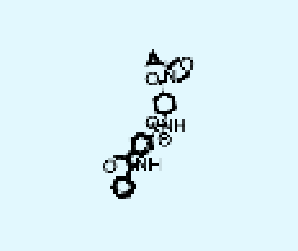 O=Cc1c(-c2ccccc2)[nH]c2cc(S(=O)(=O)N[C@H]3CC[C@H](C(=O)N4CCOC[C@@H]4C4CC4)CC3)ccc12